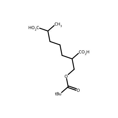 CC(CCCC(COC(=O)C(C)(C)C)C(=O)O)C(=O)O